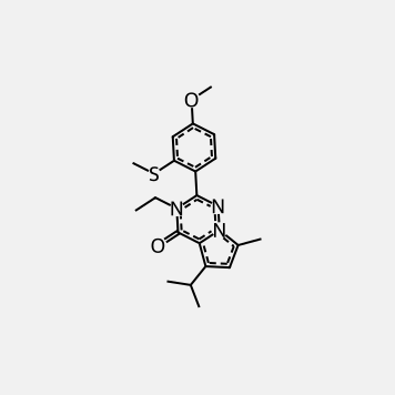 CCn1c(-c2ccc(OC)cc2SC)nn2c(C)cc(C(C)C)c2c1=O